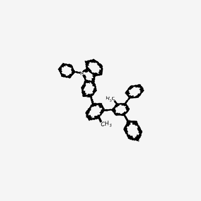 Cc1ccc(-c2ccc3c(c2)c2ccccc2n3-c2ccccc2)cc1-c1cc(-c2ccccc2)cc(-c2ccccc2)c1C